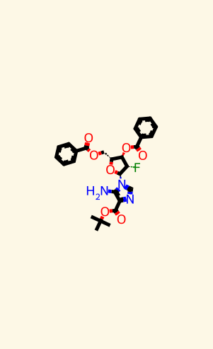 CC(C)(C)OC(=O)c1ncn([C@@H]2O[C@H](COC(=O)c3ccccc3)[C@@H](OC(=O)c3ccccc3)[C@@H]2F)c1N